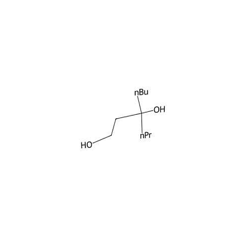 CCCCC(O)(CCC)CCO